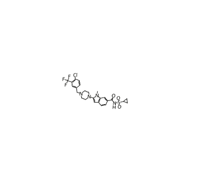 Cn1c(N2CCN(Cc3ccc(Cl)c(C(F)(F)F)c3)CC2)cc2ccc(C(=O)NS(=O)(=O)C3CC3)cc21